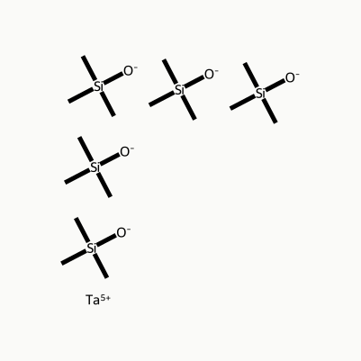 C[Si](C)(C)[O-].C[Si](C)(C)[O-].C[Si](C)(C)[O-].C[Si](C)(C)[O-].C[Si](C)(C)[O-].[Ta+5]